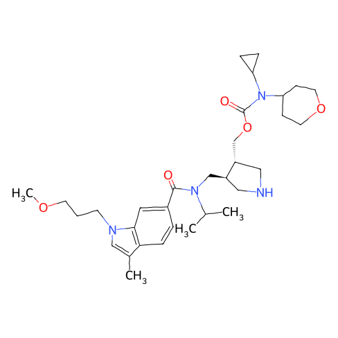 COCCCn1cc(C)c2ccc(C(=O)N(C[C@@H]3CNC[C@H]3COC(=O)N(C3CCOCC3)C3CC3)C(C)C)cc21